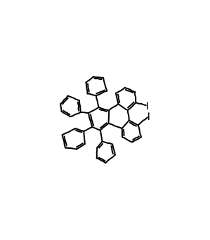 Ic1cccc2c1c1c(I)cccc1c1c(-c3ccccc3)c(-c3ccccc3)c(-c3ccccc3)c(-c3ccccc3)c21